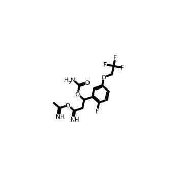 CC(=N)OC(=N)CC(OC(N)=O)c1cc(OCC(F)(F)F)ccc1F